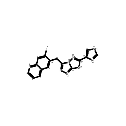 Fc1cc2ncccc2cc1Cc1nnc2sc(-c3c[nH]cn3)nn12